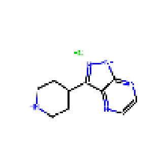 Cl.c1cnc2c(C3CCNCC3)n[nH]c2n1